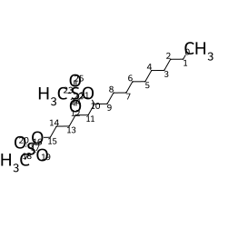 CCCCCCCCCCC(CCCCCOS(C)(=O)=O)OS(C)(=O)=O